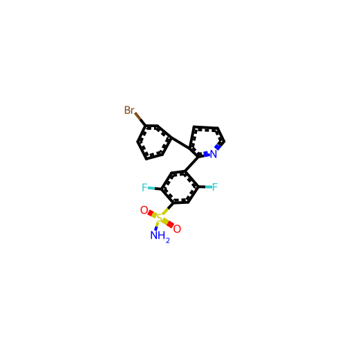 NS(=O)(=O)c1cc(F)c(-c2ncccc2-c2cccc(Br)c2)cc1F